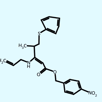 C=CCNC(=CC(=O)OCc1ccc([N+](=O)[O-])cc1)C(C)CSc1ccccc1